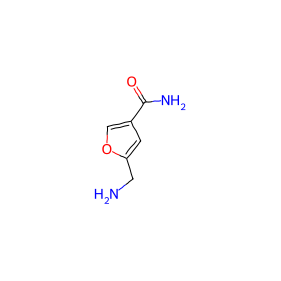 NCc1cc(C(N)=O)co1